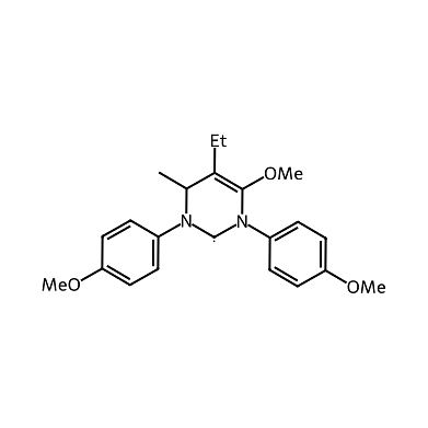 CCC1=C(OC)N(c2ccc(OC)cc2)[CH]N(c2ccc(OC)cc2)C1C